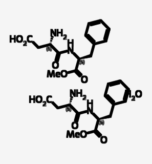 COC(=O)[C@H](Cc1ccccc1)NC(=O)[C@@H](N)CC(=O)O.COC(=O)[C@H](Cc1ccccc1)NC(=O)[C@@H](N)CC(=O)O.O